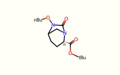 CCCCON1C(=O)N2CC1CC[C@H]2C(=O)OC(C)(C)C